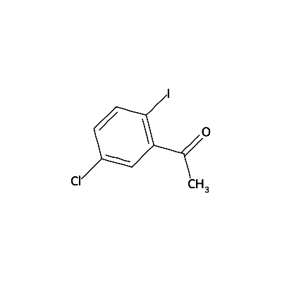 CC(=O)c1cc(Cl)ccc1I